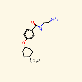 CCOC(=O)[C@H]1CC[C@H](Oc2ccc(C(=O)NCCN)cc2)CC1